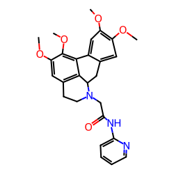 COc1cc2c(cc1OC)-c1c(OC)c(OC)cc3c1C(C2)N(CC(=O)Nc1ccccn1)CC3